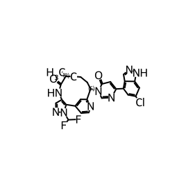 C[C@@H]1CCC[C@H](n2cnc(-c3cc(Cl)cc4[nH]ncc34)cc2=O)c2cc(ccn2)-c2c(cnn2C(F)F)NC1=O